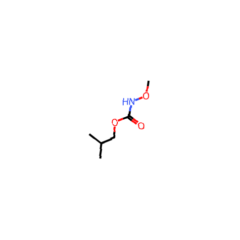 CONC(=O)OCC(C)C